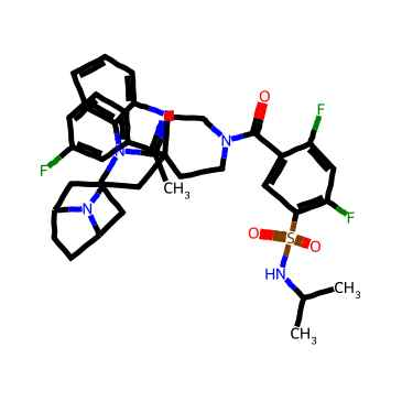 Cc1nc2ccccc2n1C1CC2CCC(C1)N2CCC1(c2cccc(F)c2)CCN(C(=O)c2cc(S(=O)(=O)NC(C)C)c(F)cc2F)CC1